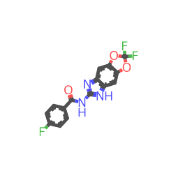 O=C(Nc1nc2cc3c(cc2[nH]1)OC(F)(F)O3)c1ccc(F)cc1